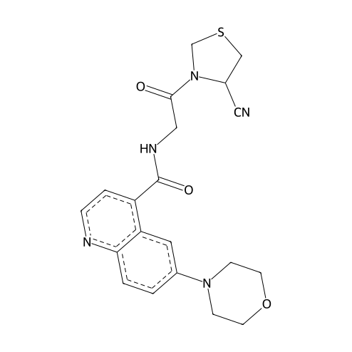 N#CC1CSCN1C(=O)CNC(=O)c1ccnc2ccc(N3CCOCC3)cc12